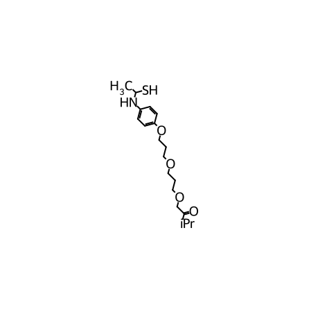 CC(S)Nc1ccc(OCCCOCCCOCC(=O)C(C)C)cc1